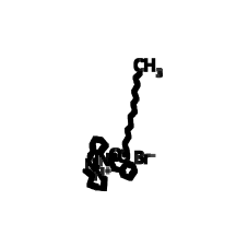 CCCCCCCCCCCCCCOc1ccccc1CC(=O)Nc1ccccc1Cn1cc2cccc[n+]2c1.[Br-]